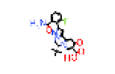 CC(C)(C)[C@@H]1Cn2nc(-c3c(F)cccc3C(N)=O)cc2-c2cc(=O)c(C(=O)O)cn21